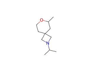 CC1CC2(CCO1)CN(C(C)C)C2